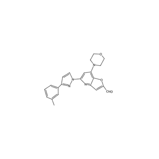 Cc1cccc(-c2ccn(-c3cc(N4CCOCC4)c4oc(C=O)cc4n3)n2)c1